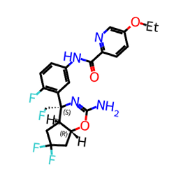 CCOc1ccc(C(=O)Nc2ccc(F)c([C@@]3(CF)N=C(N)O[C@@H]4CC(F)(F)C[C@@H]43)c2)nc1